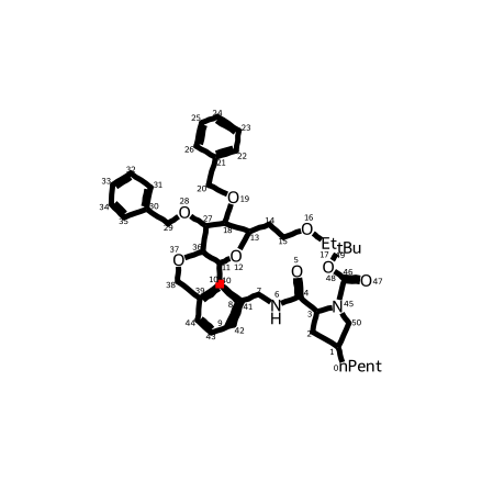 CCCCCC1CC(C(=O)NCC(C)CC2OC(CCOCC)C(OCc3ccccc3)C(OCc3ccccc3)C2OCc2ccccc2)N(C(=O)OC(C)(C)C)C1